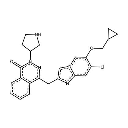 O=c1c2ccccc2c(Cc2cn3cc(OCC4CC4)c(Cl)cc3n2)nn1C1CCNC1